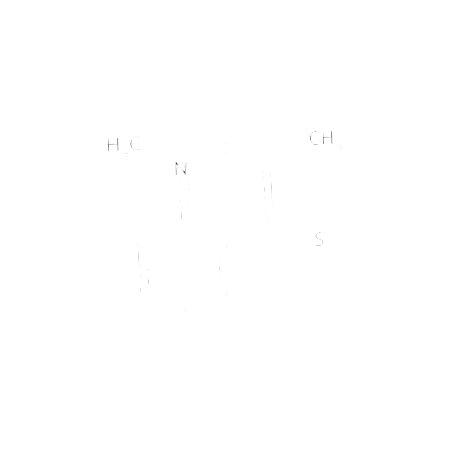 Cc1cn(C)c2ccccc2c1=S